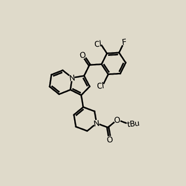 CC(C)(C)OC(=O)N1CCC=C(c2cc(C(=O)c3c(Cl)ccc(F)c3Cl)n3ccccc23)C1